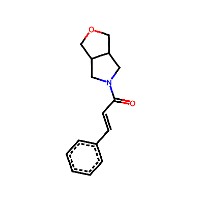 O=C(C=Cc1ccccc1)N1CC2COCC2C1